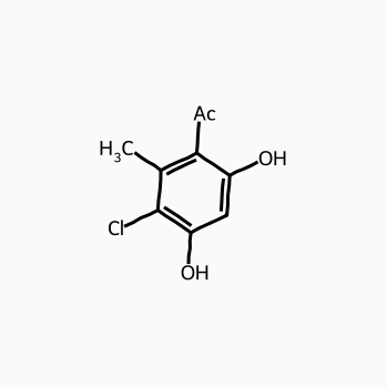 CC(=O)c1c(O)cc(O)c(Cl)c1C